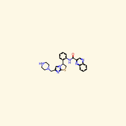 O=C(Nc1ccccc1C1CSc2nc(CN3CCNCC3)cn21)c1cnc2ccccc2n1